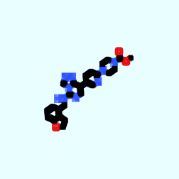 COC(=O)N1CCN(c2ccc(-c3cnc(NCc4cccc5c4CCO5)n4cnnc34)cn2)CC1